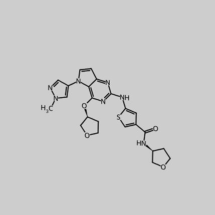 Cn1cc(-n2ccc3nc(Nc4cc(C(=O)N[C@H]5CCOC5)cs4)nc(O[C@H]4CCOC4)c32)cn1